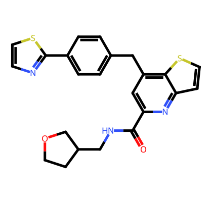 O=C(NCC1CCOC1)c1cc(Cc2ccc(-c3nccs3)cc2)c2sccc2n1